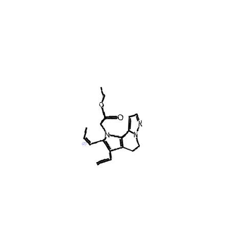 C=Cc1c2c(n(CC(=O)OCC)c1/C=C\C)-c1ccnn1CC2